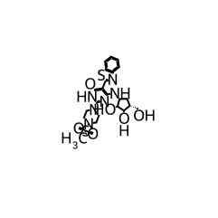 CS(=O)(=O)N1CCN(c2nc(N[C@@H]3C[C@H](CO)[C@@H](O)[C@H]3O)c(-c3nc4ccccc4s3)c(=O)[nH]2)CC1